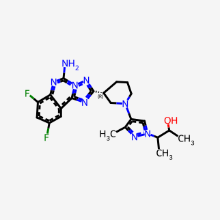 Cc1nn(C(C)C(C)O)cc1N1CCC[C@@H](c2nc3c4cc(F)cc(F)c4nc(N)n3n2)C1